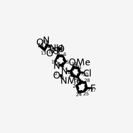 CNC(=O)N(c1ccc(S(=O)(=O)Nc2ccon2)cn1)c1cc(-c2cccc(F)c2)c(Cl)cc1OC